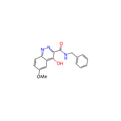 COc1ccc2nnc(C(=O)NCc3ccccc3)c(O)c2c1